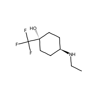 CCN[C@H]1CC[C@@](O)(C(F)(F)F)CC1